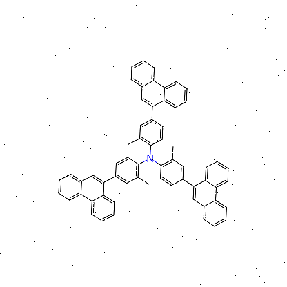 Cc1cc(-c2cc3ccccc3c3ccccc23)ccc1N(c1ccc(-c2cc3ccccc3c3ccccc23)cc1C)c1ccc(-c2cc3ccccc3c3ccccc23)cc1C